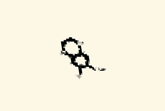 COc1cc2nc[c]nc2cc1F